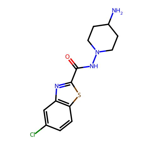 NC1CCN(NC(=O)c2nc3cc(Cl)ccc3s2)CC1